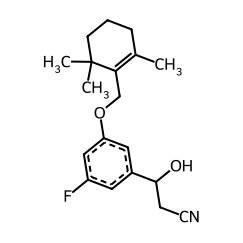 CC1=C(COc2cc(F)cc(C(O)CC#N)c2)C(C)(C)CCC1